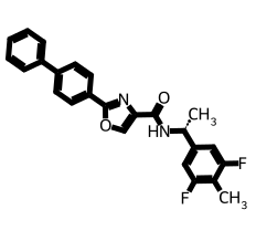 Cc1c(F)cc([C@@H](C)NC(=O)c2coc(-c3ccc(-c4ccccc4)cc3)n2)cc1F